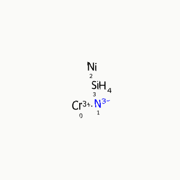 [Cr+3].[N-3].[Ni].[SiH4]